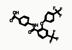 O=C(O)c1ccc(NC(=O)c2ccc(C(F)(F)F)cc2Oc2ccc(C(F)(F)F)cc2)cc1